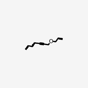 C=CC=CC#CCOCC=C